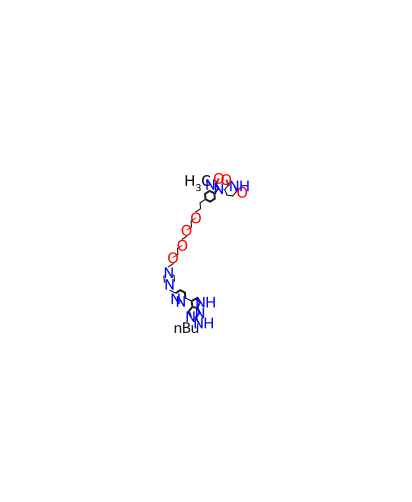 CCCCNc1ncc2c(-c3ccc(CN4CCN(CCOCCOCCOCCOCCCc5ccc6c(c5)n(C)c(=O)n6[C@H]5CCC(=O)NC5=O)CC4)nn3)c[nH]c2n1